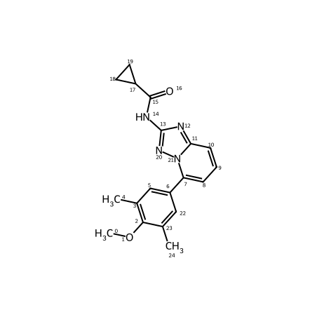 COc1c(C)cc(-c2cccc3nc(NC(=O)C4CC4)nn23)cc1C